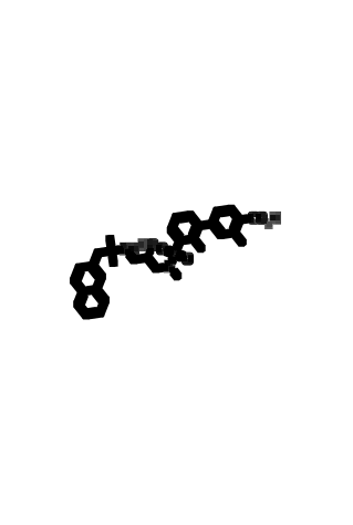 Cc1cc(-c2cccc(S(=O)(=O)N(C)C[C@H](O)CNC(C)(C)Cc3ccc4ccccc4c3)c2C)ccc1C(=O)O